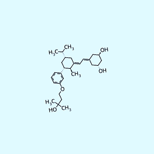 CC(C)[C@@H]1C/C(=C\C=C2C[C@@H](O)C[C@H](O)C2)[C@@H](C)[C@H](c2cccc(OCCC(C)(C)O)c2)C1